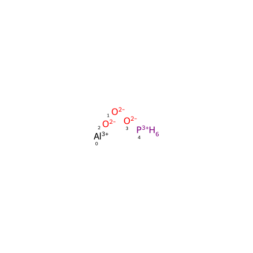 [Al+3].[O-2].[O-2].[O-2].[PH6+3]